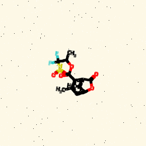 Cc1cc2c(C)c(c1C(=O)OC(C)C(F)(F)[SH](=O)=O)C(=O)O2